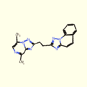 Cc1ncc(C)n2nc(CCc3nc4ccc5ccccc5n4n3)nc12